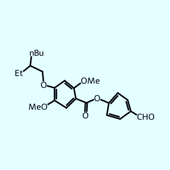 CCCCC(CC)COc1cc(OC)c(C(=O)Oc2ccc(C=O)cc2)cc1OC